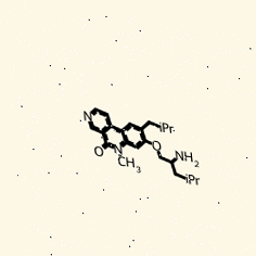 CC(C)Cc1cc2c3ccncc3c(=O)n(C)c2cc1OCC(N)CC(C)C